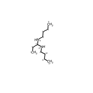 CCCCNC(CC)NCCCC